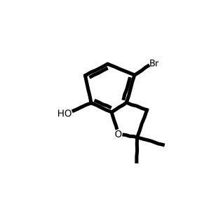 CC1(C)Cc2c(Br)ccc(O)c2O1